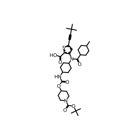 CC1CCC(C(=O)N(c2cc(C#CC(C)(C)C)sc2C(=O)O)C2CCC(NC(=O)OC3CCN(C(=O)OC(C)(C)C)CC3)CC2)CC1